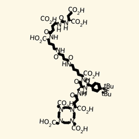 CC(C)(C)[Si](F)(c1ccc(C(=O)N[C@@H](CNC(=O)CC[C@@H](C(=O)O)N2CCN(CC(=O)O)CCN(CC(=O)O)CCN(CC(=O)O)CC2)C(=O)N[C@@H](CCCCNC(=O)CCC(=O)NCCC[C@@H](NC(=O)CC[C@H](NC(=O)N[C@@H](CCC(=O)O)C(=O)O)C(=O)O)C(=O)O)C(=O)O)cc1)C(C)(C)C